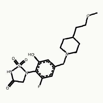 COCCC1CCN(Cc2cc(O)c(N3CC(=O)NS3(=O)=O)c(F)c2)CC1